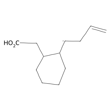 C=CC[CH]C1CCCCC1CC(=O)O